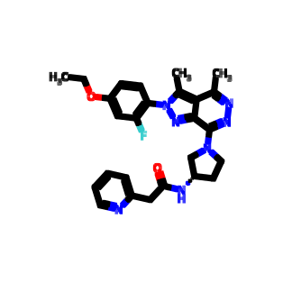 CCOc1ccc(-n2nc3c(N4CC[C@H](NC(=O)Cc5ccccn5)C4)nnc(C)c3c2C)c(F)c1